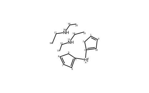 C1=CC[C]([Hf][C]2=CC=CC2)=C1.CCNCC.CCNCC